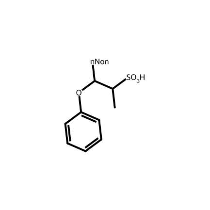 CCCCCCCCCC(Oc1ccccc1)C(C)S(=O)(=O)O